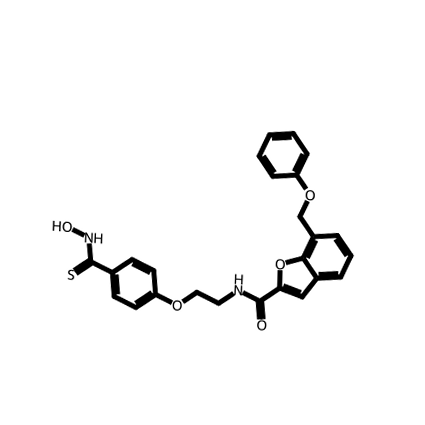 O=C(NCCOc1ccc(C(=S)NO)cc1)c1cc2cccc(COc3ccccc3)c2o1